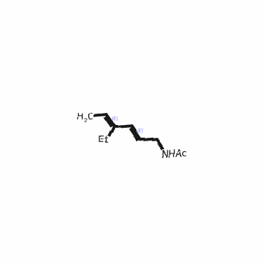 C/C=C(/C=C/CNC(C)=O)CC